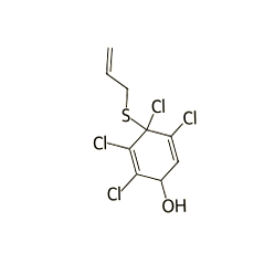 C=CCSC1(Cl)C(Cl)=CC(O)C(Cl)=C1Cl